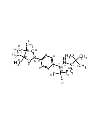 CC(C)(C)[S@@+]([O-])N[C@@H](c1ccc(B2OC(C)(C)C(C)(C)O2)cc1)C(F)(F)F